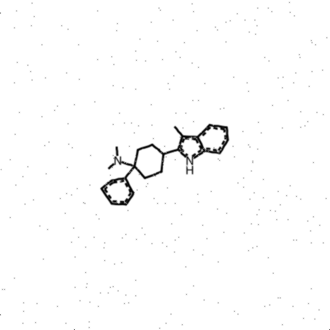 Cc1c(C2CCC(c3ccccc3)(N(C)C)CC2)[nH]c2ccccc12